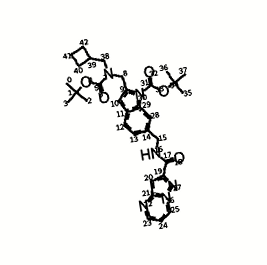 CC(C)(C)OC(=O)N(Cc1cc2ccc(CNC(=O)c3cc4ncccn4n3)cc2n1C(=O)OC(C)(C)C)CC1CCC1